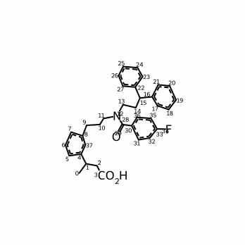 CC(CC(=O)O)c1cccc(CCCN(CCC(c2ccccc2)c2ccccc2)C(=O)c2ccc(F)cc2)c1